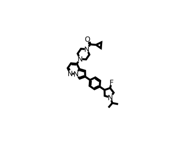 CC(C)N1CC(F)C(c2ccc(-c3cc4c(N5CCN(C(=O)C6CC6)CC5)ccnn4c3)cc2)C1